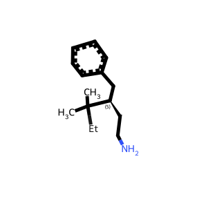 CCC(C)(C)[C@H](CCN)Cc1ccccc1